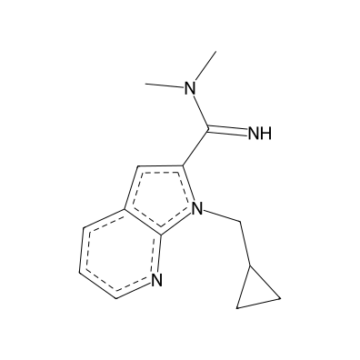 CN(C)C(=N)c1cc2cccnc2n1CC1CC1